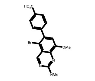 CNc1ncc2c(Br)c(-c3ccc(C(=O)O)cc3)cc(OC)c2n1